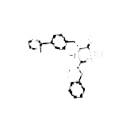 O=C(N[C@@H](Cc1ccc(-c2nccs2)cc1)C(=O)O)[C@@H](CS)Cc1ccccc1